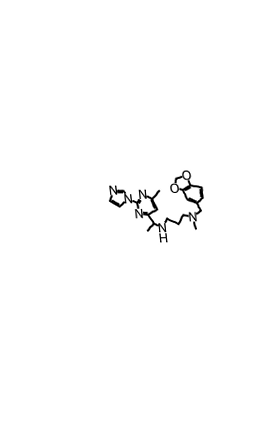 Cc1cc(C(C)NCCCN(C)Cc2ccc3c(c2)OCO3)nc(-n2ccnc2)n1